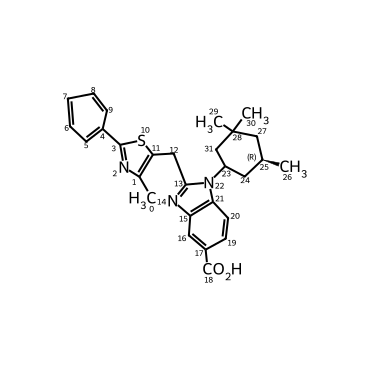 Cc1nc(-c2ccccc2)sc1Cc1nc2cc(C(=O)O)ccc2n1C1C[C@H](C)CC(C)(C)C1